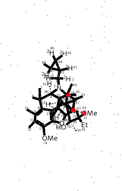 [2H]C([2H])(N1[C@@H]2C(C)(C)c3c(C)c(C)c(OC)c4c3[C@]3([C@@H](O4)[C@]4(OC)C(C)CC23[C@H](C)[C@@H]4[C@](C)(O)C(C)(C)CC)C(C)(C)C1(C)C)C1([2H])C([2H])([2H])C1([2H])C